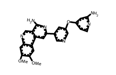 COc1cc2ncc3c(N)nc(-c4cncc(Oc5ccnc(N)c5)c4)cc3c2cc1OC